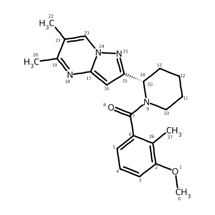 COc1cccc(C(=O)N2CCCC[C@H]2c2cc3nc(C)c(C)cn3n2)c1C